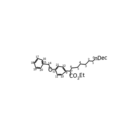 CCCCCCCCCCCCCCCCC(C(=O)OCC)c1ccc(OCc2ccccc2)cc1